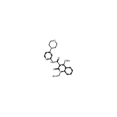 COc1c(C(=O)Nc2cc(N3CCOCC3)ccn2)c(=O)n(CC(C)C)c2ccccc12